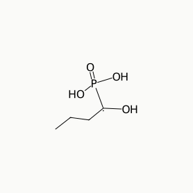 CCC[C](O)P(=O)(O)O